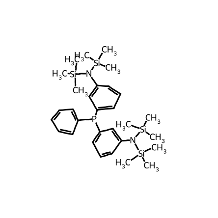 C[Si](C)(C)N(c1cccc(P(c2ccccc2)c2cccc(N([Si](C)(C)C)[Si](C)(C)C)c2)c1)[Si](C)(C)C